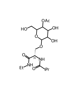 CCNC(=O)[C@H](COC1OC(CO)C(OC(C)=O)C(O)C1O)NC(=O)C(C)C